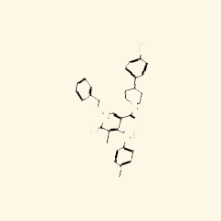 Cc1ccc(Nc2c(C(=O)N3CCC(c4ccc(F)cc4)CC3)cn(OCc3ccccc3)c(=O)c2C)cc1